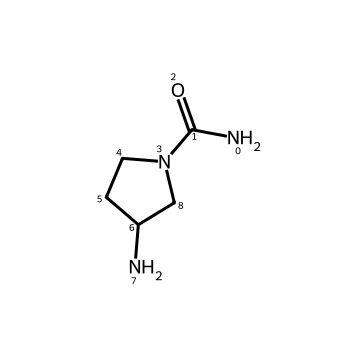 NC(=O)N1CCC(N)C1